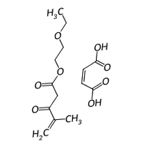 C=C(C)C(=O)CC(=O)OCCOCC.O=C(O)/C=C\C(=O)O